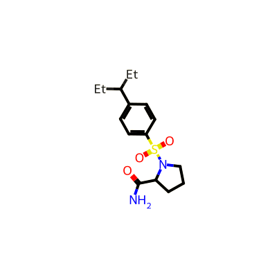 CCC(CC)c1ccc(S(=O)(=O)N2CCCC2C(N)=O)cc1